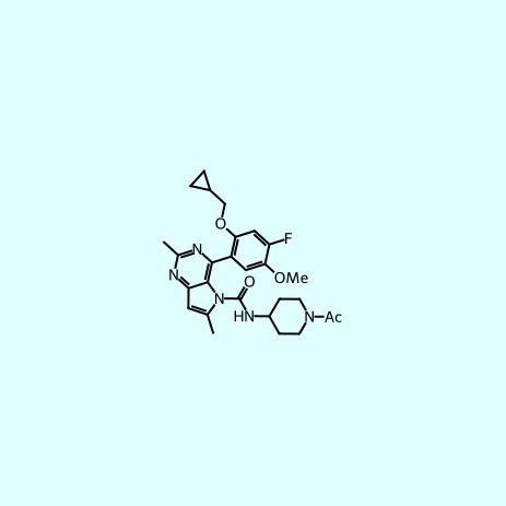 COc1cc(-c2nc(C)nc3cc(C)n(C(=O)NC4CCN(C(C)=O)CC4)c23)c(OCC2CC2)cc1F